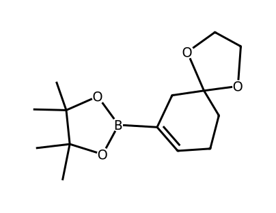 CC1(C)OB(C2=CCCC3(C2)OCCO3)OC1(C)C